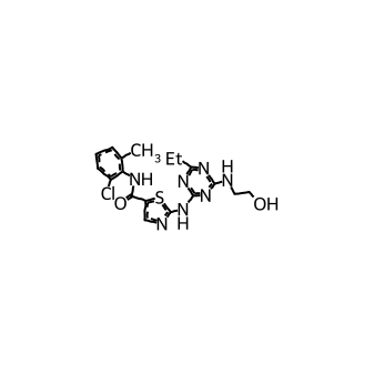 CCc1nc(NCCO)nc(Nc2ncc(C(=O)Nc3c(C)cccc3Cl)s2)n1